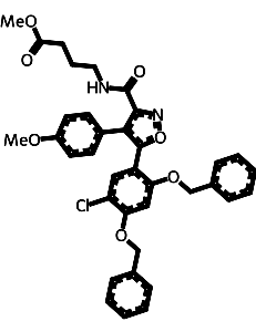 COC(=O)CCCNC(=O)c1noc(-c2cc(Cl)c(OCc3ccccc3)cc2OCc2ccccc2)c1-c1ccc(OC)cc1